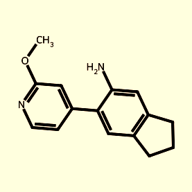 COc1cc(-c2cc3c(cc2N)CCC3)ccn1